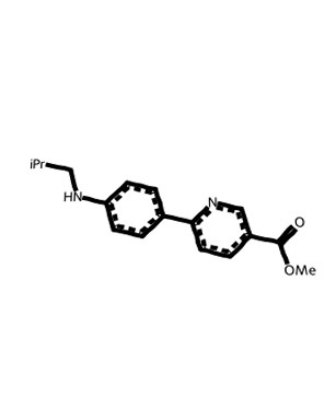 COC(=O)c1ccc(-c2ccc(NCC(C)C)cc2)nc1